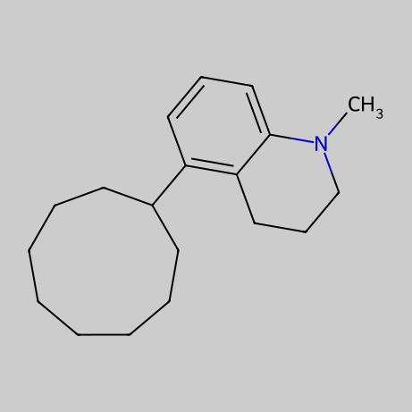 CN1CCCc2c(C3CCCCCCCC3)cccc21